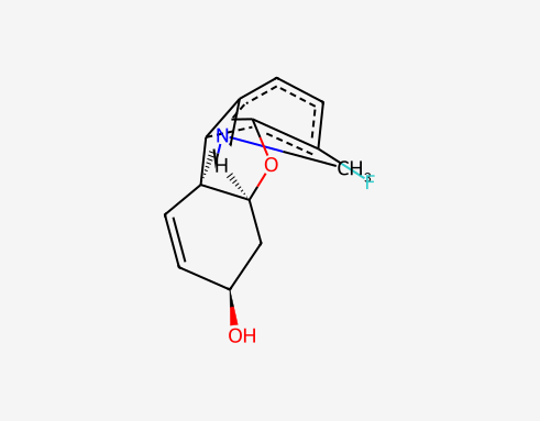 CN1CC[C@@]23C=C[C@H](O)C[C@@H]2Oc2c(F)ccc(c23)C1